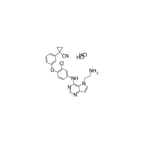 Cl.Cl.N#CC1(c2cccc(Oc3ccc(Nc4ncnc5ccn(CCN)c45)cc3Cl)c2)CC1